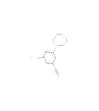 N#Cc1cc(N)cc(N2CCOCC2)c1